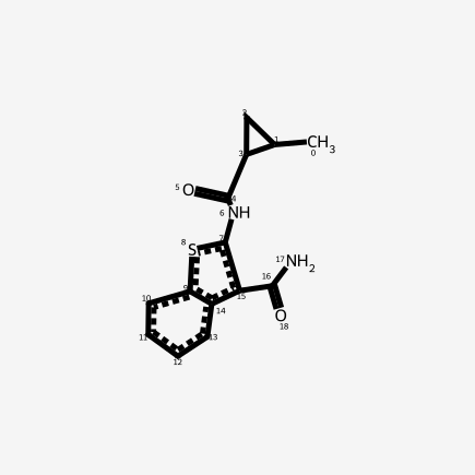 CC1CC1C(=O)Nc1sc2ccccc2c1C(N)=O